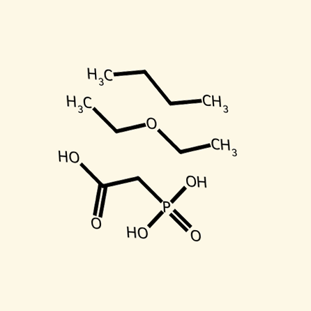 CCCC.CCOCC.O=C(O)CP(=O)(O)O